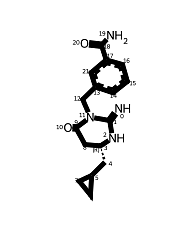 N=C1N[C@H](CC2CC2)CC(=O)N1Cc1cccc(C(N)=O)c1